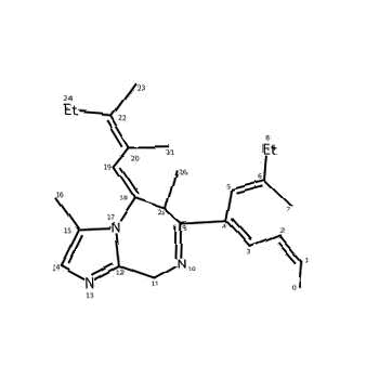 C\C=C/C=C(\C=C(/C)CC)C1=NCc2ncc(C)n2/C(=C/C(C)=C(/C)CC)C1C